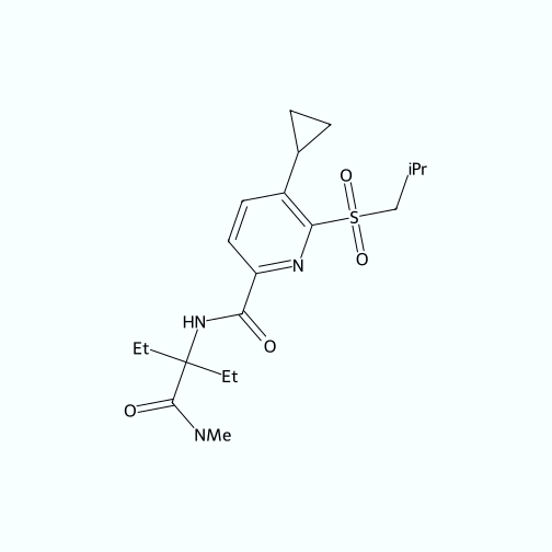 CCC(CC)(NC(=O)c1ccc(C2CC2)c(S(=O)(=O)CC(C)C)n1)C(=O)NC